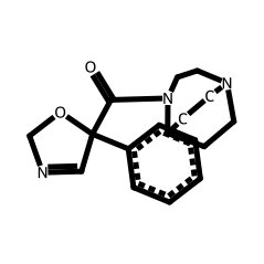 O=C(N1CCN2CCC1CC2)C1(c2ccccc2)C=NCO1